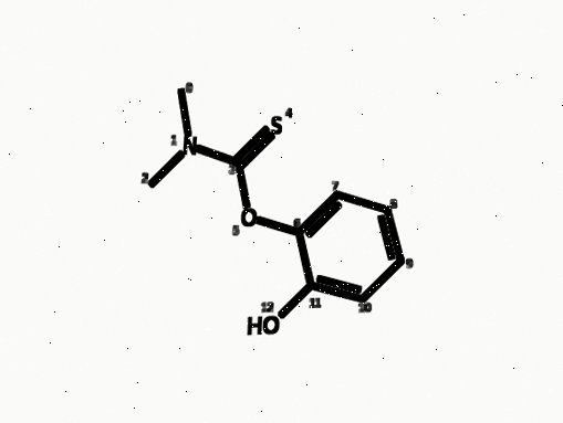 CN(C)C(=S)Oc1ccccc1O